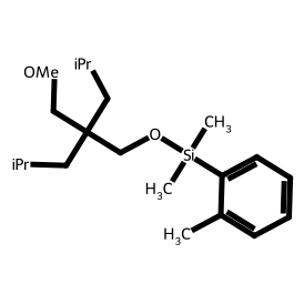 COCC(CO[Si](C)(C)c1ccccc1C)(CC(C)C)CC(C)C